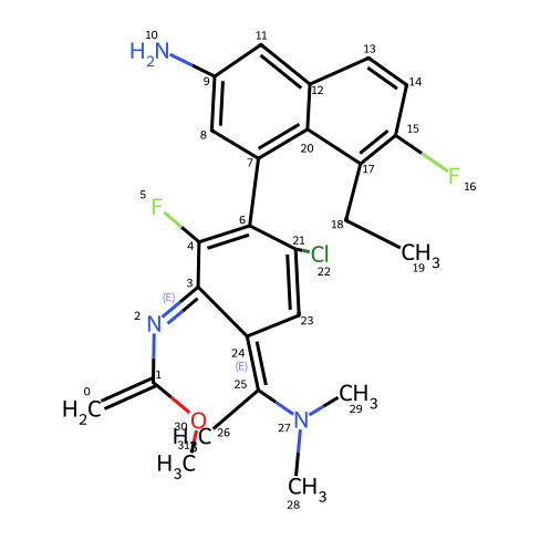 C=C(/N=C1/C(F)=C(c2cc(N)cc3ccc(F)c(CC)c23)C(Cl)=C/C1=C(/C)N(C)C)OC